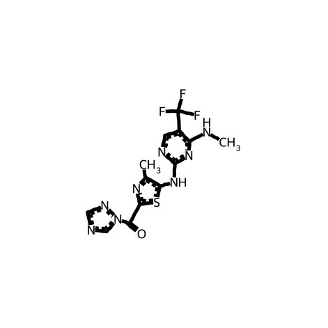 CNc1nc(Nc2sc(C(=O)n3cncn3)nc2C)ncc1C(F)(F)F